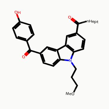 CCCCCCCC(=O)c1ccc2c(c1)c1cc(C(=O)c3ccc(O)cc3)ccc1n2CCCOC